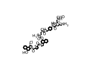 CN(CCN(C)C(=O)Oc1cc2c(c3ccccc13)CCN2C(=O)c1ccc(C(=O)N2C[C@@H](CCl)c3c2cc(O)c2ccccc32)s1)C(=O)OCc1ccc(NC(=O)[C@H](CCCN)NC(=O)CNC=O)cc1